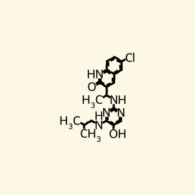 CC(C)CNc1nc(NC(C)c2cc3cc(Cl)ccc3[nH]c2=O)ncc1O